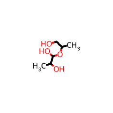 CC(CO)OC(O)C(C)O